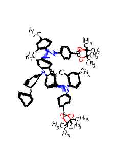 Cc1ccc(N(c2ccc(B3OC(C)(C)C(C)(C)O3)cc2)c2ccc3c(c2)c2cc(N(c4ccc(B5OC(C)(C)C(C)(C)O5)cc4)c4ccc(C)cc4C)ccc2n3-c2cccc(-c3ccccc3)c2)c(C)c1